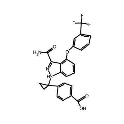 NC(=O)C1=N[SH](C2(c3ccc(C(=O)O)cc3)CC2)c2cccc(Oc3cccc(C(F)(F)F)c3)c21